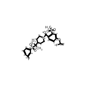 CC(C)(C1CCN(C(=O)c2ccc(OC(F)F)cc2S(C)(=O)=O)CC1)S(=O)(=O)c1cccc(F)c1